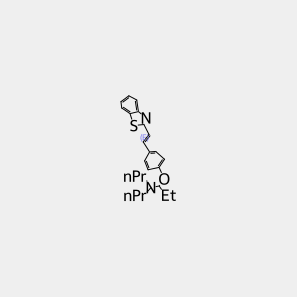 CCCN(CCC)C(CC)Oc1ccc(/C=C/c2nc3ccccc3s2)cc1